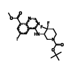 COC(=O)c1cc(I)cc2c(NC3CN(C(=O)OC(C)(C)C)CCC3(F)F)ncnc12